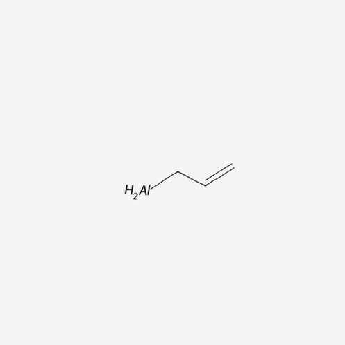 C=C[CH2][AlH2]